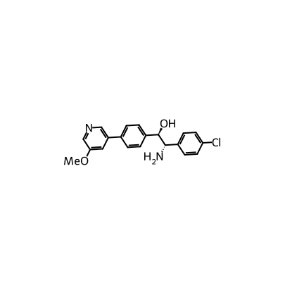 COc1cncc(-c2ccc([C@@H](O)[C@@H](N)c3ccc(Cl)cc3)cc2)c1